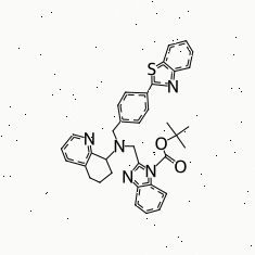 CC(C)(C)OC(=O)n1c(CN(Cc2ccc(-c3nc4ccccc4s3)cc2)C2CCCc3cccnc32)nc2ccccc21